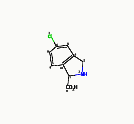 O=C(O)C1NCc2cc(Cl)ccc21